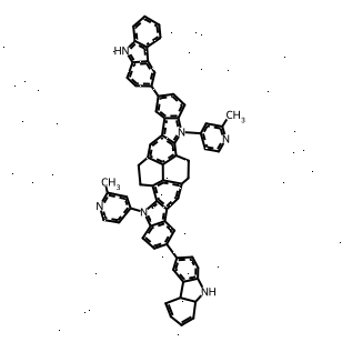 Cc1cc(-n2c3ccc(-c4ccc5c(c4)C4C=CC=CC4N5)cc3c3cc4c5c(c32)CCc2cc3c6cc(-c7ccc8[nH]c9ccccc9c8c7)ccc6n(-c6ccnc(C)c6)c3c(c2-5)CC4)ccn1